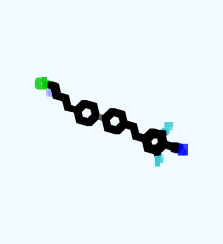 N#Cc1c(F)cc(CCC2CCC([C@H]3CC[C@H](CC/C=C/Cl)CC3)CC2)cc1F